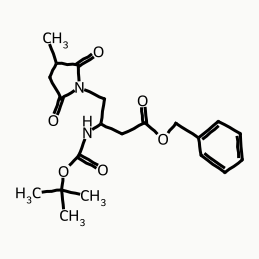 CC1CC(=O)N(CC(CC(=O)OCc2ccccc2)NC(=O)OC(C)(C)C)C1=O